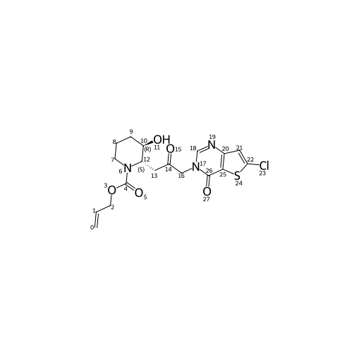 C=CCOC(=O)N1CCC[C@@H](O)[C@@H]1CC(=O)Cn1cnc2cc(Cl)sc2c1=O